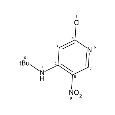 CC(C)(C)Nc1cc(Cl)ncc1[N+](=O)[O-]